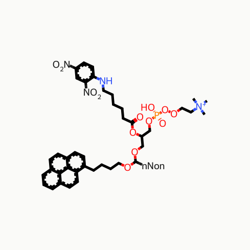 CCCCCCCCCC(OCCCCc1ccc2ccc3cccc4ccc1c2c34)OCC(COP(=O)(O)OOCC[N+](C)(C)C)OC(=O)CCCCCNc1ccc([N+](=O)[O-])cc1[N+](=O)[O-]